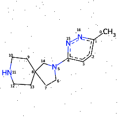 Cc1ccc(N2CCC3(CCNCC3)C2)nn1